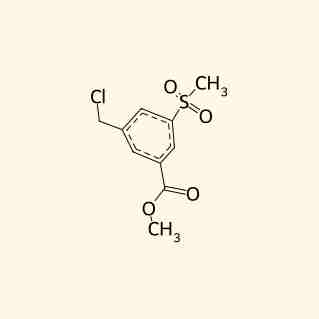 COC(=O)c1cc(CCl)cc(S(C)(=O)=O)c1